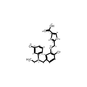 CCN(Cc1ccc(Cl)c(OCc2nc(C(=O)O)co2)c1)c1cccc(Cl)c1